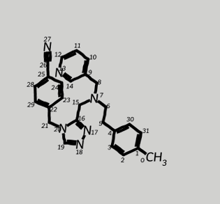 Cc1ccc(CCN(Cc2cccnc2)Cc2nncn2Cc2ccc(C#N)cc2)cc1